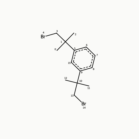 CC(C)(CBr)c1cccc(C(C)(C)CBr)c1